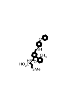 CSCC[C@H](NC(=O)c1ccc(CNc2ccc(Oc3ccccc3)cc2)cc1-c1ccccc1C)C(=O)O